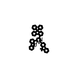 CC1(C)c2ccccc2-c2ccc(-c3nc(-c4cccc5c4-c4ccccc4C5(c4ccccc4)c4ccccc4)cc(-c4cccc5c4oc4ccccc45)n3)cc21